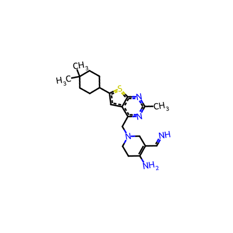 Cc1nc(CN2CCC(N)=C(C=N)C2)c2cc(C3CCC(C)(C)CC3)sc2n1